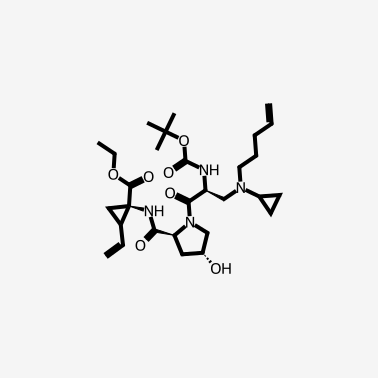 C=CCCCN(C[C@H](NC(=O)OC(C)(C)C)C(=O)N1C[C@H](O)C[C@H]1C(=O)N[C@]1(C(=O)OCC)CC1C=C)C1CC1